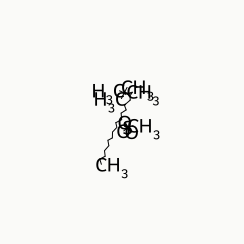 CCCCCCCCC(CCCCCCC(C)C(C)(C)C)OS(C)(=O)=O